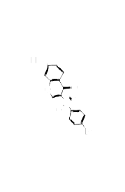 Cc1ccc2c(=O)c(S(=O)(=O)c3ccc(Br)cc3)coc2c1